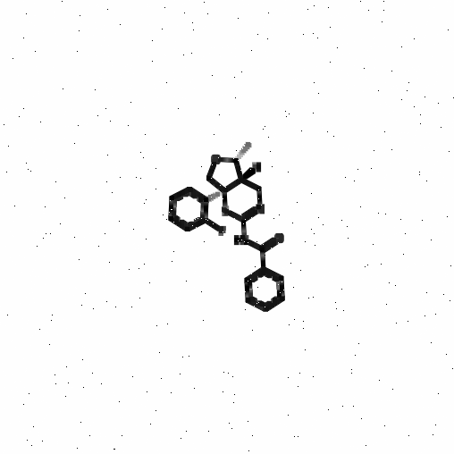 C[C@H]1OC[C@]2(c3ccccc3F)SC(NC(=O)c3ccccc3)=NC[C@@H]12